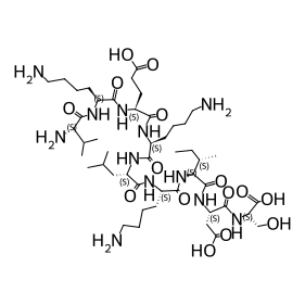 CC[C@H](C)[C@H](NC(=O)[C@H](CCCCN)NC(=O)[C@H](CC(C)C)NC(=O)[C@H](CCCCN)NC(=O)[C@H](CCC(=O)O)NC(=O)[C@H](CCCCN)NC(=O)[C@@H](N)C(C)C)C(=O)N[C@@H](CC(=O)O)C(=O)N[C@@H](CO)C(=O)O